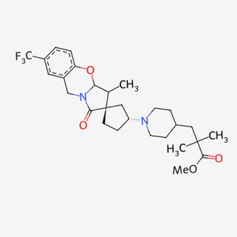 COC(=O)C(C)(C)CC1CCN([C@@H]2CC[C@@]3(C2)C(=O)N2Cc4cc(C(F)(F)F)ccc4OC2C3C)CC1